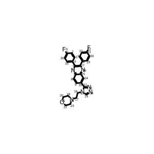 Fc1ccc(-c2nc3ccc(-c4nncn4CCN4CCOCC4)cc3nc2-c2ccc(F)cc2)cc1